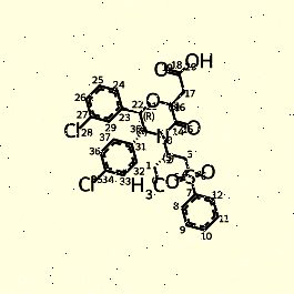 CC[C@@H](CS(=O)(=O)c1ccccc1)N1C(=O)[C@H](CC(=O)O)O[C@H](c2cccc(Cl)c2)[C@H]1c1ccc(Cl)cc1